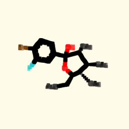 CC(=O)OC[C@H]1OC(O)(c2ccc(Br)c(F)c2)[C@H](OC(C)=O)[C@@H](OC(C)=O)[C@@H]1OC(C)=O